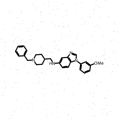 COc1cccc(-n2cnc3cc(NCC4CCN(Cc5ccccc5)CC4)ccc32)c1